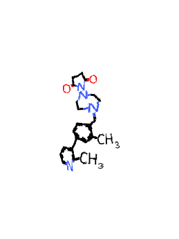 Cc1cc(-c2cccnc2C)ccc1CN1CCN(N2C(=O)CCC2=O)CC1